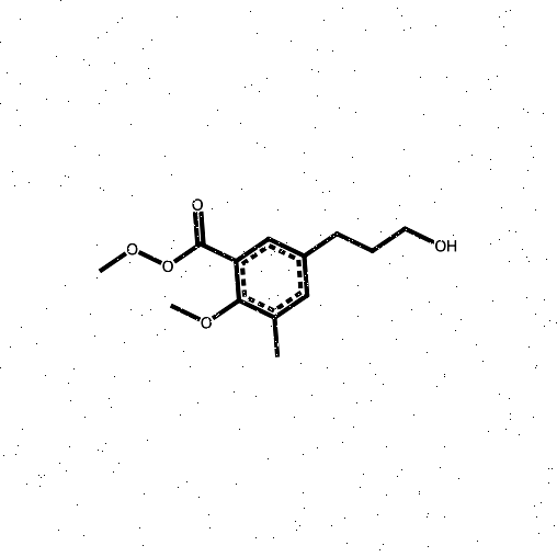 COOC(=O)c1cc(CCCO)cc(C)c1OC